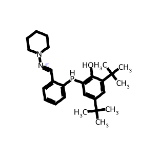 CC(C)(C)c1cc(Pc2ccccc2/C=N/N2CCCCC2)c(O)c(C(C)(C)C)c1